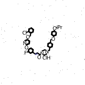 CC(C)Oc1ccc(OCc2ccc(CN3CCN(C(=O)/C=C/c4ccc(Oc5ccc(OCc6ccccc6Cl)cn5)c(F)c4)CC3)cc2)cc1.Cl